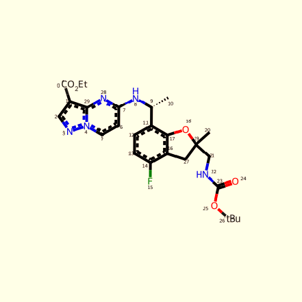 CCOC(=O)c1cnn2ccc(N[C@H](C)c3ccc(F)c4c3OC(C)(CNC(=O)OC(C)(C)C)C4)nc12